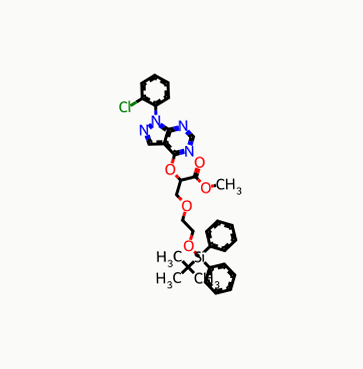 COC(=O)C(COCCO[Si](c1ccccc1)(c1ccccc1)C(C)(C)C)Oc1ncnc2c1cnn2-c1ccccc1Cl